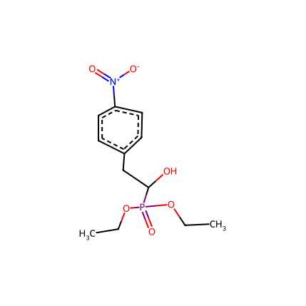 CCOP(=O)(OCC)C(O)Cc1ccc([N+](=O)[O-])cc1